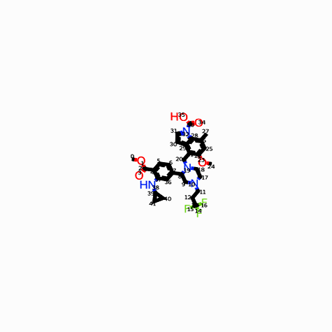 COC(=O)c1ccc(C2CN(CCC(F)(F)F)CCN2Cc2c(OC)cc(C)c3c2ccn3C(=O)O)cc1NC1CC1